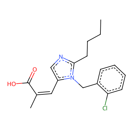 CCCCc1ncc(C=C(C)C(=O)O)n1Cc1ccccc1Cl